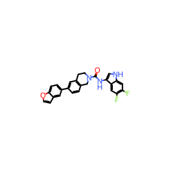 O=C(Nc1c[nH]c2cc(F)c(F)cc12)N1CCc2cc(-c3ccc4occc4c3)ccc2C1